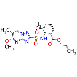 C=CCOC(=O)c1cccc(C)c1NS(=O)(=O)c1nc2nc(OC)c(C)cn2n1